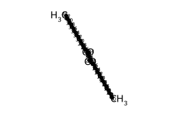 CCCCCCCCCCCCCCCCCCOC(=O)CCC(=O)OCCCCCCCCCCCCCCCCCC